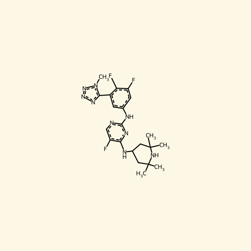 Cn1nnnc1-c1cc(Nc2ncc(F)c(NC3CC(C)(C)NC(C)(C)C3)n2)cc(F)c1F